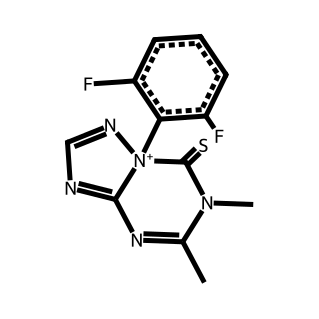 CC1=NC2=NC=N[N+]2(c2c(F)cccc2F)C(=S)N1C